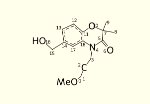 COCCCN1C(=O)C(C)(C)Oc2ccc(CO)cc21